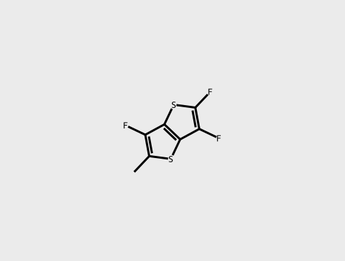 Cc1sc2c(F)c(F)sc2c1F